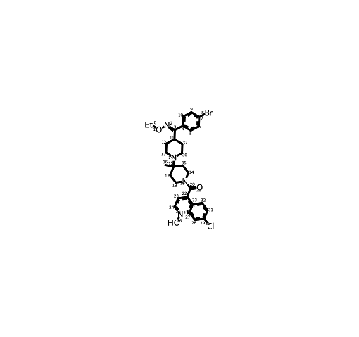 CCO/N=C(/c1ccc(Br)cc1)C1CCN(C2(C)CCN(C(=O)c3cc[n+](O)c4cc(Cl)ccc34)CC2)CC1